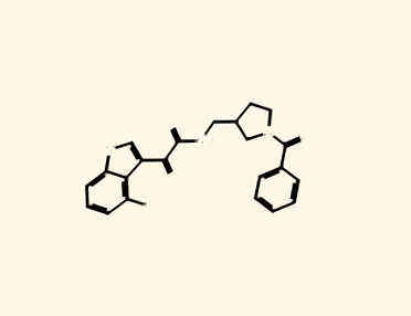 O=C(NCC1CCN(C(=O)c2ccccc2)C1)C(=O)c1c[nH]c2cccc(F)c12